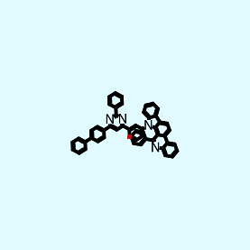 c1ccc(-c2ccc(-c3cc(-c4cccc(-n5c6ccccc6c6ccc7c8ccccc8nc(-c8ccccc8)c7c65)c4)nc(-c4ccccc4)n3)cc2)cc1